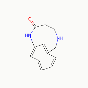 O=C1CCNCC2=C\C(=C/C=C/C=C\2)N1